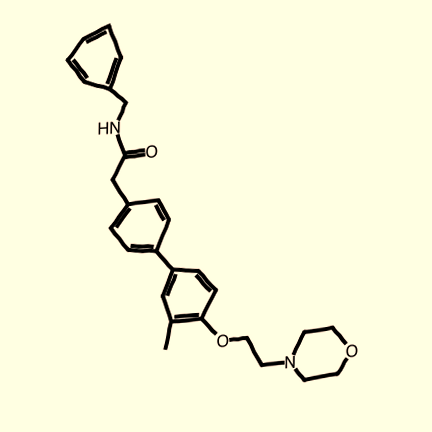 Cc1cc(-c2ccc(CC(=O)NCc3ccccc3)cc2)ccc1OCCN1CCOCC1